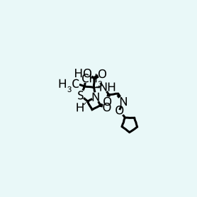 CC1(C)S[C@@H]2CC(=O)N2[C@@]1(NC(=O)/C=N\OC1CCCC1)C(=O)O